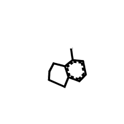 [CH]c1cccc2c1CCCC2